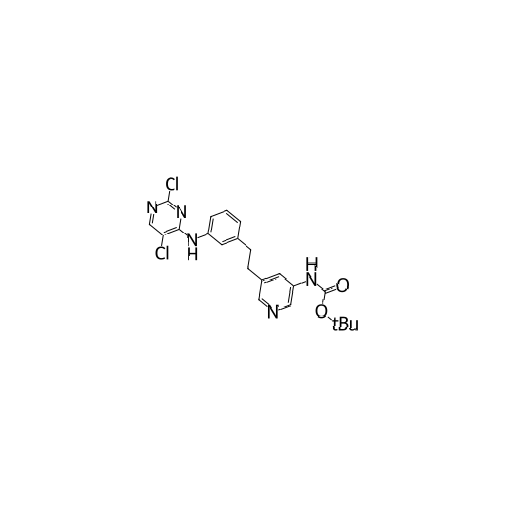 CC(C)(C)OC(=O)Nc1cncc(CCc2cccc(Nc3nc(Cl)ncc3Cl)c2)c1